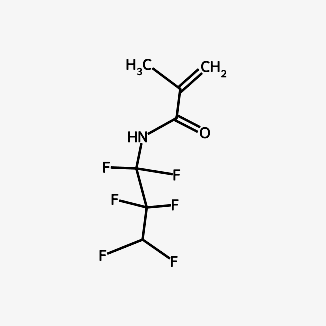 C=C(C)C(=O)NC(F)(F)C(F)(F)C(F)F